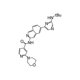 CC(C)(C)Nc1cncc(-c2ccc3cnc(NC(=O)c4ccnc(N5CCOCC5)c4)cc3c2)n1